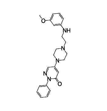 COc1cccc(NCCN2CCN(c3cnn(-c4ccccc4)c(=O)c3)CC2)c1